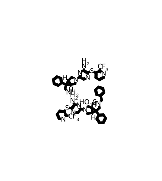 NCC1(c2ccccc2)[C@@H]2CN(c3cnc(Sc4cccnc4C(F)(F)F)c(N)n3)C[C@@H]21.Nc1nc(N2C[C@@H]3[C@H](C2)C3(CN(Cc2ccccc2)C(=O)O)c2ccccc2)cnc1Sc1cccnc1C(F)(F)F